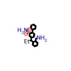 [CH2]CC(c1ccc(-c2ccccc2)c(S(N)(=O)=O)c1)c1ccccc1CN